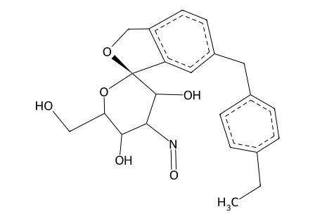 CCc1ccc(Cc2ccc3c(c2)[C@@]2(OC3)OC(CO)C(O)C(N=O)C2O)cc1